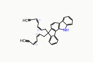 C#C/C=C\C=C/CC1(C/C=C\C=C/C#C)c2ccccc2-c2c1ccc1c2[nH]c2ccccc21